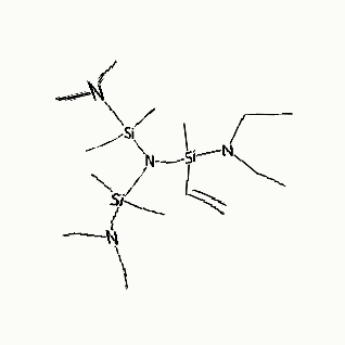 C=C[Si](C)(N(CC)CC)N([Si](C)(C)N(C)C)[Si](C)(C)N(C)C